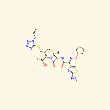 C=CCn1nnnc1SCC1=C(C(=O)O)N2C(=O)C(NC(=O)C(=NOC3CCCC3)c3csc(N)n3)[C@@H]2SC1